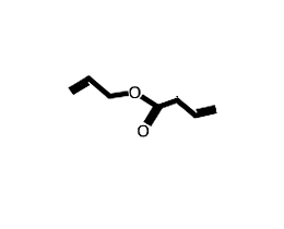 C=C[CH]C(=O)OCC=C